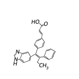 CC/C(=C(/c1ccc(/C=C/C(=O)O)cc1)c1ccc2[nH]cnc2c1)c1ccccc1